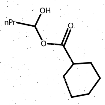 CCCC(O)OC(=O)C1CCCCC1